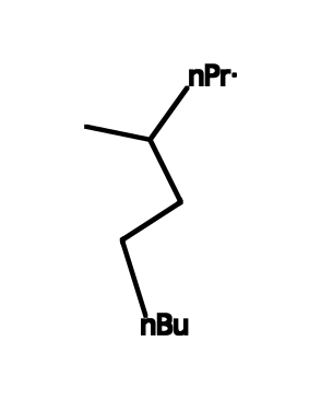 CC[CH]C(C)CCCCCC